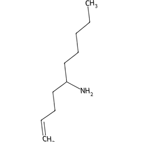 C=CCCC(N)CCCCC